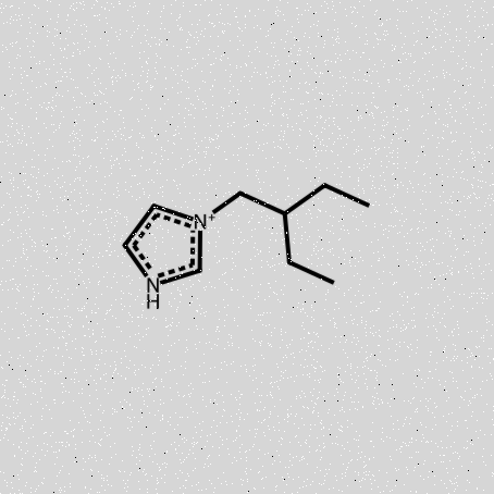 CCC(CC)C[n+]1cc[nH]c1